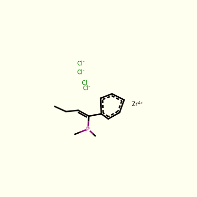 CCC=C(c1ccccc1)P(C)C.[Cl-].[Cl-].[Cl-].[Cl-].[Zr+4]